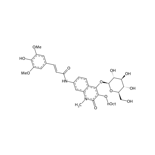 CCCCCCCCOc1c(O[C@@H]2O[C@H](CO)[C@@H](O)[C@H](O)[C@H]2O)c2ccc(NC(=O)/C=C/c3cc(OC)c(O)c(OC)c3)cc2n(C)c1=O